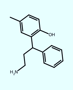 Cc1ccc(O)c(C(CCN)c2ccccc2)c1